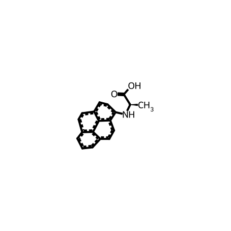 C[C@@H](Nc1ccc2ccc3cccc4ccc1c2c34)C(=O)O